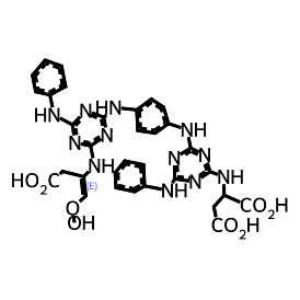 O=C(O)C/C(=C\OO)Nc1nc(Nc2ccccc2)nc(Nc2ccc(Nc3nc(Nc4ccccc4)nc(NC(CC(=O)O)C(=O)O)n3)cc2)n1